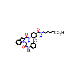 CCc1cccc(N(CC)C(=O)Cn2c(C(=O)N[C@H]3CC[C@H](C(=O)NCCCCCC(=O)O)CC3)cc3ccccc32)c1